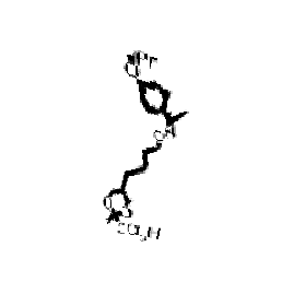 CC(=NOCCCCC1COC(C)(C(=O)O)OC1)c1ccc(OC(C)C)cc1